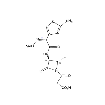 CO/N=C(\C(=O)N[C@@H]1C(=O)N(C(=O)CC(=O)O)[C@H]1C)c1csc(N)n1